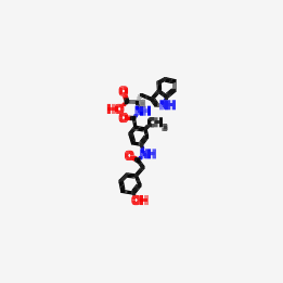 Cc1cc(NC(=O)Cc2cccc(O)c2)ccc1C(=O)N[C@@H](Cc1c[nH]c2ccccc12)C(=O)O